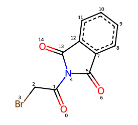 O=C(CBr)N1C(=O)c2ccccc2C1=O